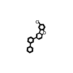 Clc1ccc2c(c1)C1C=C(c3cccc(-c4ccccc4)c3)C=CC1O2